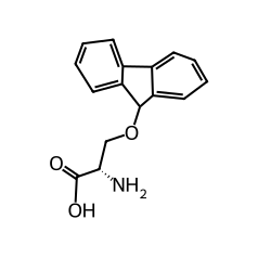 N[C@@H](COC1c2ccccc2-c2ccccc21)C(=O)O